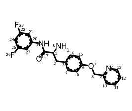 N[C@@H](Cc1ccc(OCc2ccccn2)cc1)C(=O)Nc1cc(F)cc(F)c1